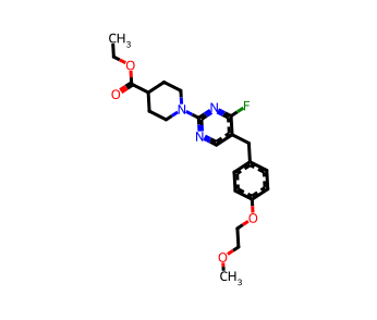 CCOC(=O)C1CCN(c2ncc(Cc3ccc(OCCOC)cc3)c(F)n2)CC1